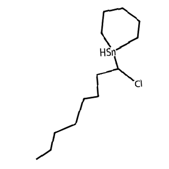 CCCCCCC[CH](Cl)[SnH]1[CH2]CCC[CH2]1